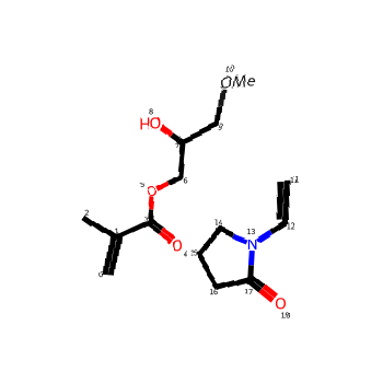 C=C(C)C(=O)OCC(O)COC.C=CN1CCCC1=O